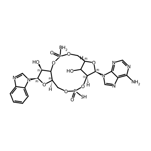 BP1(=O)OC[C@H]2O[C@@H](n3cnc4c(N)ncnc43)[C@@H](OP(=O)(S)OC[C@H]3O[C@@H](n4cnc5ccccc54)[C@@H](O)C3O1)C2O